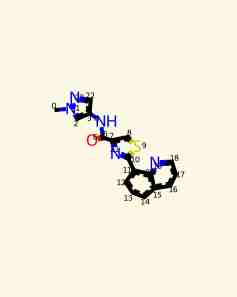 Cn1cc(NC(=O)c2csc(-c3cccc4cccnc34)n2)cn1